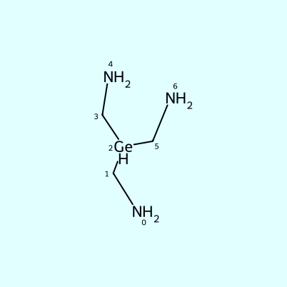 N[CH2][GeH]([CH2]N)[CH2]N